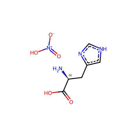 N[C@@H](Cc1c[nH]cn1)C(=O)O.O=[N+]([O-])O